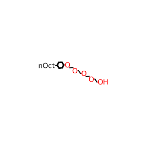 CCCCCCCCc1ccc(OCCOCCOCCOCCO)cc1